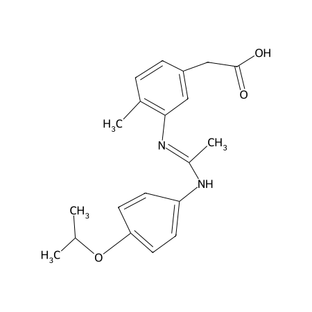 C/C(=N\c1cc(CC(=O)O)ccc1C)Nc1ccc(OC(C)C)cc1